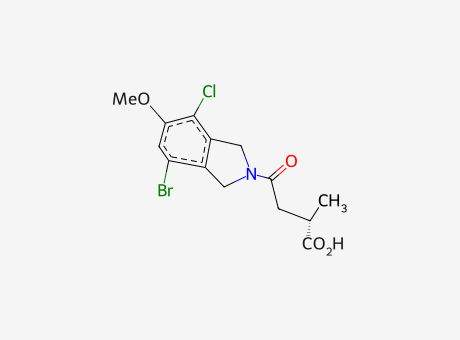 COc1cc(Br)c2c(c1Cl)CN(C(=O)C[C@H](C)C(=O)O)C2